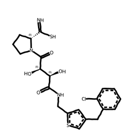 N=C(S)[C@H]1CCCN1C(=O)[C@H](O)[C@@H](O)C(=O)NCc1cc(Cc2ccccc2Cl)cs1